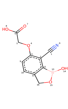 N#Cc1c(OCC(=O)O)ccc2c1B(O)OC2